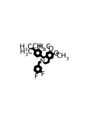 COc1cc2c(cc1OC)C(c1ccc(C(C)(C)C)cc1)N(Cc1ccc(F)c(F)c1)CC2